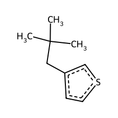 CC(C)(C)Cc1ccsc1